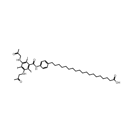 CC(=O)CNc1c(I)c(NCC(C)=O)c(I)c(C(=O)Nc2ccc(CCCCCCCCCCCCCCCCCCC(=O)O)cc2)c1I